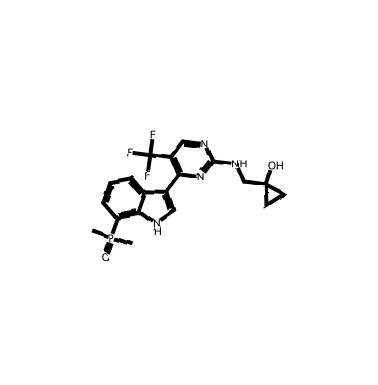 CP(C)(=O)c1cccc2c(-c3nc(NCC4(O)CC4)ncc3C(F)(F)F)c[nH]c12